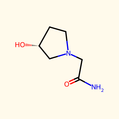 NC(=O)CN1CC[C@@H](O)C1